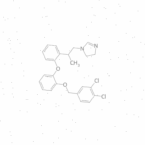 CC(CN1C=NCC1)c1ccccc1Oc1ccccc1OCc1ccc(Cl)c(Cl)c1